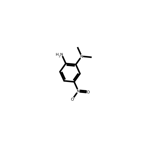 CN(C)c1cc([N+](=O)[O-])ccc1N